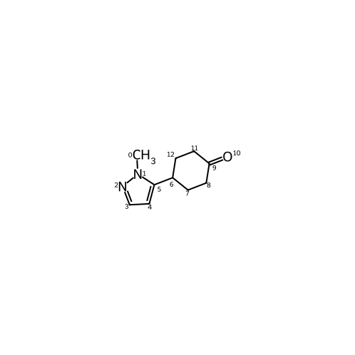 Cn1nccc1C1CCC(=O)CC1